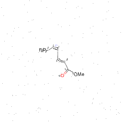 CCC/C=C\C=CC(=O)OC